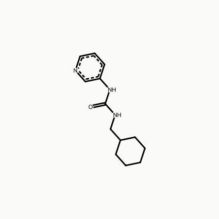 O=C(NCC1CCCCC1)Nc1cccnc1